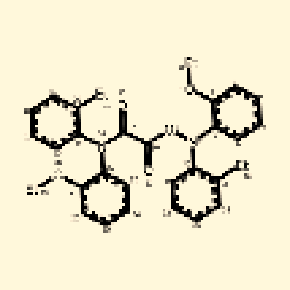 CCOc1ccccc1N(OC(=O)C(=O)N(c1ccccc1CC)c1ccccc1OCC)c1ccccc1CC